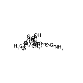 Cc1ncsc1-c1ccc(CNC(=O)[C@@H]2C[C@@H](O)CN2C(=O)C(NC(=O)COCCCOCCOCCN)C(C)(C)C)cc1